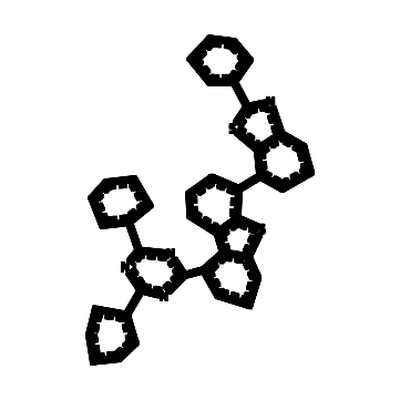 c1ccc(-c2nc(-c3ccccc3)nc(-c3cccc4sc5c(-c6cccc7nc(-c8ccccc8)sc67)cccc5c34)n2)cc1